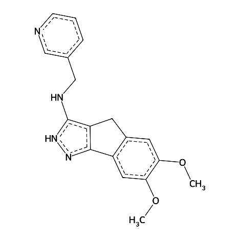 COc1cc2c(cc1OC)-c1n[nH]c(NCc3cccnc3)c1C2